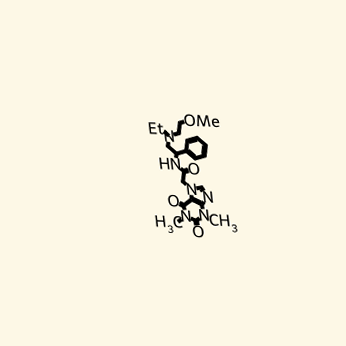 CCN(CCOC)CC(NC(=O)Cn1cnc2c1c(=O)n(C)c(=O)n2C)c1ccccc1